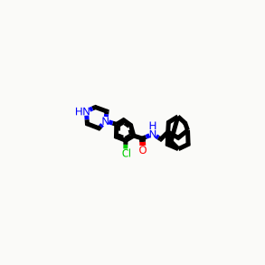 O=C(NCC12CC3CC(CC(C3)C1)C2)c1ccc(N2CCNCC2)cc1Cl